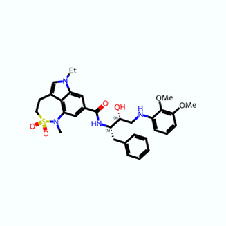 CCn1cc2c3c(cc(C(=O)N[C@@H](Cc4ccccc4)[C@H](O)CNc4cccc(OC)c4OC)cc31)N(C)S(=O)(=O)CC2